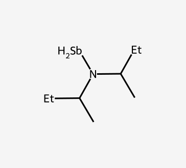 CCC(C)[N]([SbH2])C(C)CC